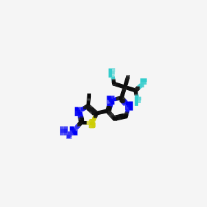 Cc1nc(N)sc1-c1ccnc(C(C)(CF)C(F)F)n1